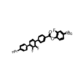 CCCCc1ccc(OC(=O)c2ccc(-c3ccc(-c4ccc(CCC)cc4)c(F)c3F)cc2)c(F)c1